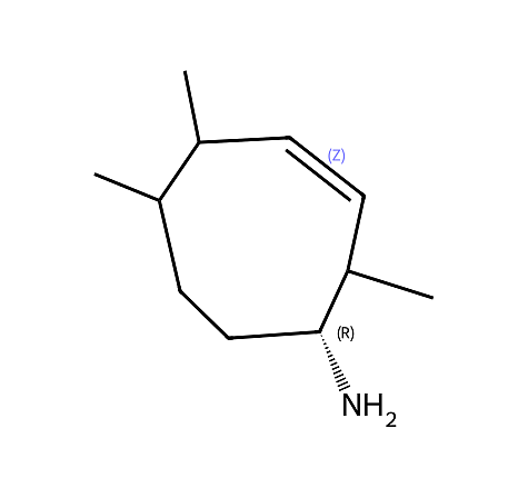 CC1/C=C\C(C)[C@H](N)CCC1C